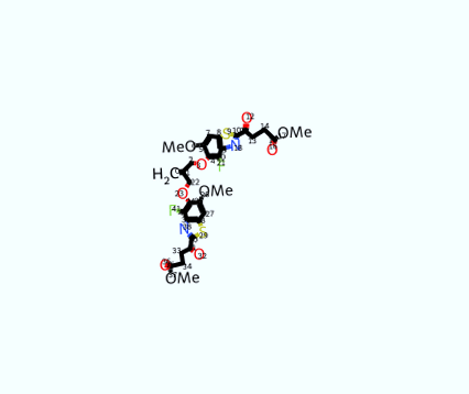 C=C(COc1c(OC)cc2sc(C(=O)CCC(=O)OC)nc2c1F)COc1c(OC)cc2sc(C(=O)CCC(=O)OC)nc2c1F